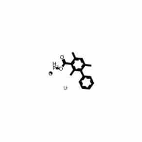 Cc1cc(C)c(-c2ccccc2)c(C)c1C(=O)O[PH2]=O.[Li]